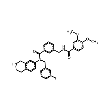 COc1ccc(C(=O)NCc2cccc(C(=O)N(Cc3cccc(F)c3)c3ccc4c(c3)CNCC4)c2)cc1OC